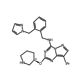 CC(C)c1cnn2c(NCc3ccccc3Cn3cccn3)nc(O[C@@H]3CCCNC3)nc12